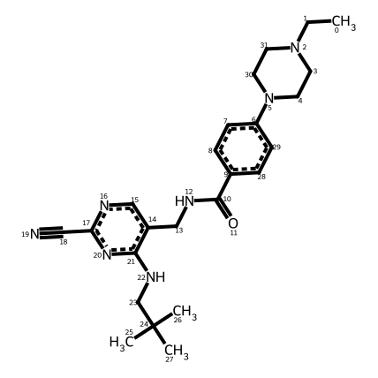 CCN1CCN(c2ccc(C(=O)NCc3cnc(C#N)nc3NCC(C)(C)C)cc2)CC1